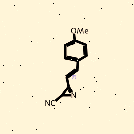 COc1ccc(/C=C/C2=NC2C#N)cc1